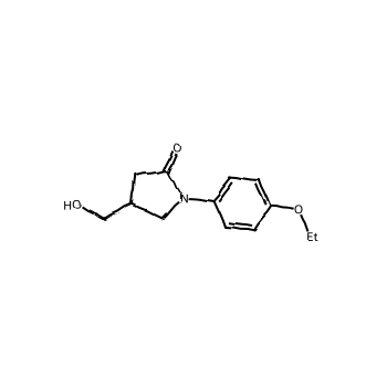 CCOc1ccc(N2CC(CO)CC2=O)cc1